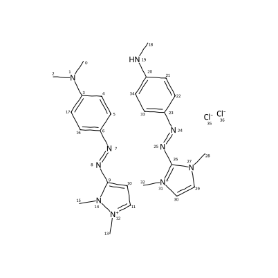 CN(C)c1ccc(/N=N/c2cc[n+](C)n2C)cc1.CNc1ccc(/N=N/c2n(C)cc[n+]2C)cc1.[Cl-].[Cl-]